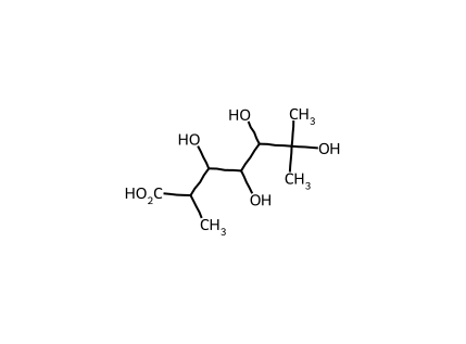 CC(C(=O)O)C(O)C(O)C(O)C(C)(C)O